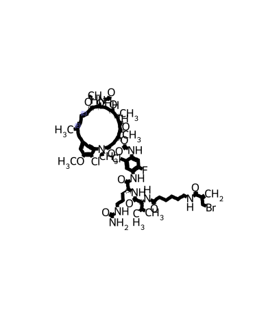 C=C(CBr)C(=O)NCCCCCC(=O)N[C@H](C(=O)N[C@@H](CCCNC(N)=O)C(=O)Nc1cc(Cl)c(NC(=O)O[C@H]2CC(=O)N(C)c3cc(cc(OC)c3Cl)C/C(C)=C/C=C/[C@@H](OC)[C@@]3(O)C[C@H](OC(=O)N3)[C@@H](C)[C@@H]3O[C@@]23C)cc1F)C(C)C